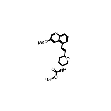 COc1cnc2cccc(C=C[C@@H]3CC[C@@H](NC(=O)OC(C)(C)C)CO3)c2c1